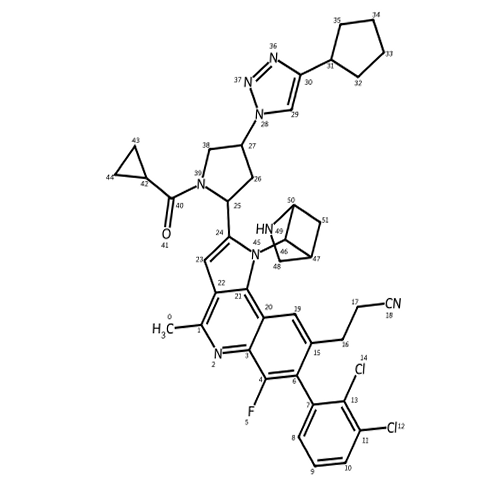 Cc1nc2c(F)c(-c3cccc(Cl)c3Cl)c(CCC#N)cc2c2c1cc(C1CC(n3cc(C4CCCC4)nn3)CN1C(=O)C1CC1)n2C1C2CNC1C2